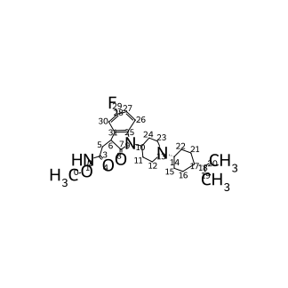 CONC(=O)CC1C(=O)N(C2CCN([C@H]3CC[C@@H](C(C)C)CC3)CC2)c2ccc(F)cc21